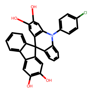 Oc1cc2c(cc1O)C1(c3ccccc3-2)c2ccccc2N(c2ccc(Cl)cc2)c2cc(O)c(O)cc21